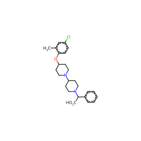 Cc1cc(Cl)ccc1OC1CCN(C2CCN(C(C(=O)O)c3ccccc3)CC2)CC1